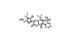 [2H]C([2H])([2H])c1ccccc1-n1cc(C(C)C)c2cc(-n3nc(CO)n(CC)c3=O)c(F)cc2c1=O